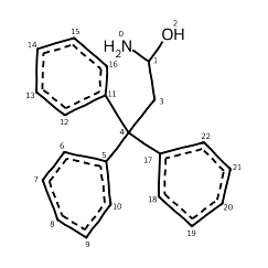 NC(O)CC(c1ccccc1)(c1ccccc1)c1ccccc1